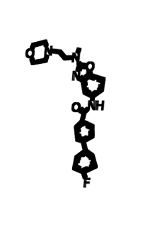 CN(CCN1CCOCC1)c1nc2cc(NC(=O)c3ccc(-c4ccc(F)cc4)cc3)ccc2o1